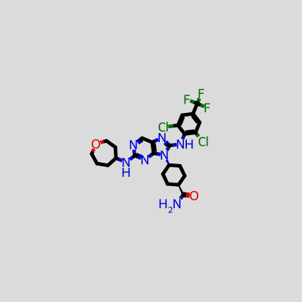 NC(=O)[C@H]1CC[C@@H](n2c(Nc3c(Cl)cc(C(F)(F)F)cc3Cl)nc3cnc(NC4CCCOCC4)nc32)CC1